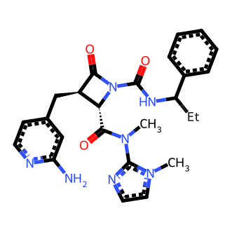 CCC(NC(=O)N1C(=O)[C@H](Cc2ccnc(N)c2)[C@H]1C(=O)N(C)c1nccn1C)c1ccccc1